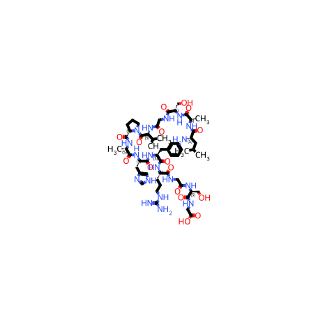 CC(C)C[C@H](N)C(=O)N[C@@H](C)C(=O)N[C@@H](CO)C(=O)NCC(=O)N[C@H](C(=O)N1CCC[C@H]1C(=O)N[C@@H](C)C(=O)N[C@@H](Cc1c[nH]cn1)C(=O)N[C@@H](Cc1ccccc1)C(=O)N[C@@H](CCCNC(=N)N)C(=O)NCC(=O)N[C@@H](CO)C(=O)NCC(=O)O)C(C)C